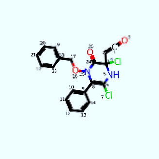 O=C=CC1(Cl)NC(Cl)=C(c2ccccc2)N(OCc2ccccc2)C1=O